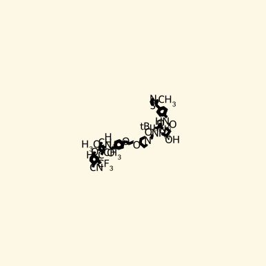 Cc1ncsc1-c1ccc(CNC(=O)[C@@H]2C[C@@H](O)CN2C(=O)[C@@H](NC(=O)CN2CCC(OCCOc3ccc(C(=O)N[C@H]4C(C)(C)[C@H](Oc5ccc(C#N)c(C(F)(F)F)c5)C4(C)C)cc3)CC2)C(C)(C)C)cc1